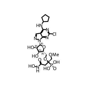 COC[C@@](CC(=O)NO)(OC[C@H]1O[C@@H](n2ncc3c(NC4CCCC4)nc(Cl)nc32)[C@H](O)[C@@H]1O)P(=O)(O)O